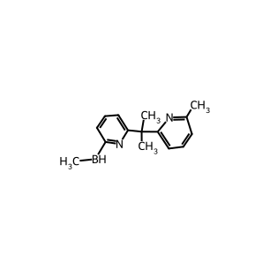 CBc1cccc(C(C)(C)c2cccc(C)n2)n1